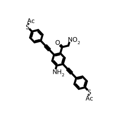 CC(=O)Sc1ccc(C#Cc2cc(C(=O)C[N+](=O)[O-])c(C#Cc3ccc(SC(C)=O)cc3)cc2N)cc1